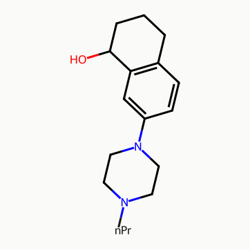 CCCN1CCN(c2ccc3c(c2)C(O)CCC3)CC1